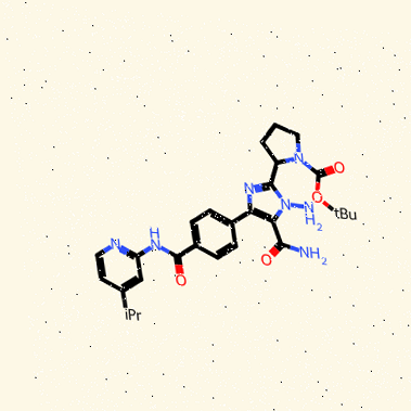 CC(C)c1ccnc(NC(=O)c2ccc(-c3nc(C4CCCN4C(=O)OC(C)(C)C)n(N)c3C(N)=O)cc2)c1